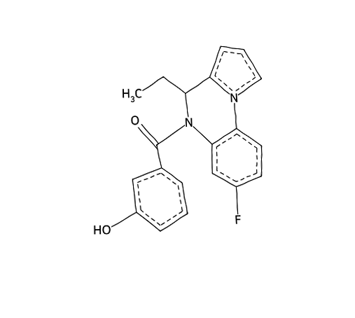 CCC1c2cccn2-c2ccc(F)cc2N1C(=O)c1cccc(O)c1